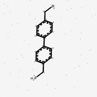 BCc1ccc(-c2ccc(CBr)cc2)cc1